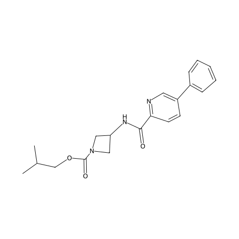 CC(C)COC(=O)N1CC(NC(=O)c2ccc(-c3ccccc3)cn2)C1